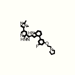 Cc1ncc(-c2cnc3[nH]nc(-c4cc5c(-c6cc(F)cc(OCCN7CCCC7)c6)cccc5[nH]4)c3c2)n1C